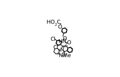 CN[C@H]1CCCC[C@@H]1N1C(=O)c2ccccc2[C@@H](C(=O)NOCc2cccc(OCC(=O)O)c2)[C@@H]1c1ccc(Cl)cc1Cl